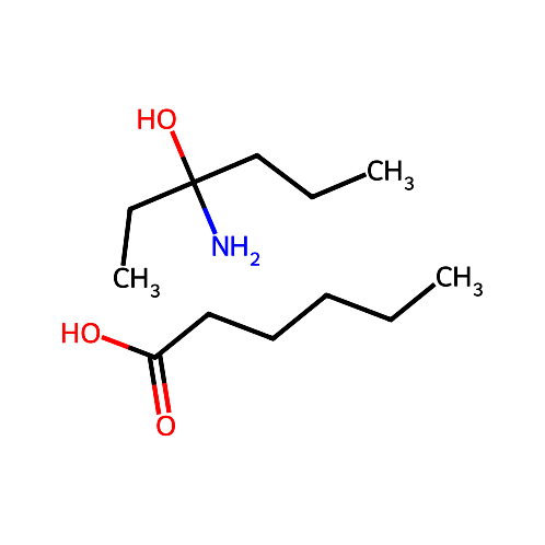 CCCC(N)(O)CC.CCCCCC(=O)O